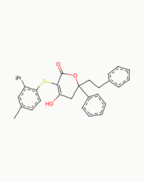 Cc1ccc(SC2=C(O)CC(CCc3ccccc3)(c3ccccc3)OC2=O)c(C(C)C)c1